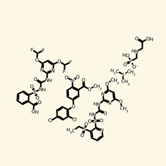 CCS(=O)(=O)c1cccnc1S(=O)(=O)NC(=O)Nc1nc(OC)cc(OC)n1.COC(=O)c1cc(Oc2ccc(Cl)cc2Cl)ccc1[N+](=O)[O-].C[S+](C)C.O=C(Nc1nc(OC(F)F)cc(OC(F)F)n1)NS(=O)(=O)c1ccccc1C(=O)O.O=C(O)CNCP(=O)([O-])O